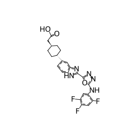 O=C(O)C[C@H]1CC[C@H](c2ccc3[nH]c(-c4nnc(Nc5cc(F)c(F)cc5F)o4)nc3c2)CC1